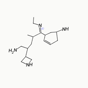 CC/N=C(\C(C)CC(CN)C1CNC1)C1C=CCC(NC)C1